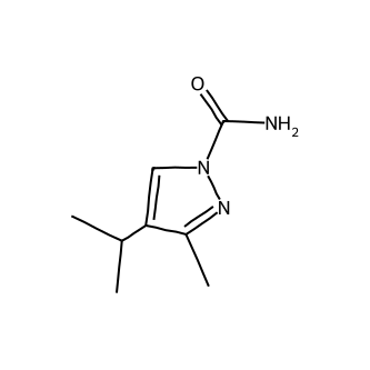 Cc1nn(C(N)=O)cc1C(C)C